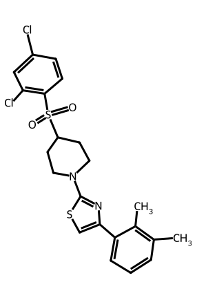 Cc1cccc(-c2csc(N3CCC(S(=O)(=O)c4ccc(Cl)cc4Cl)CC3)n2)c1C